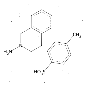 Cc1ccc(S(=O)(=O)O)cc1.NN1CCc2ccccc2C1